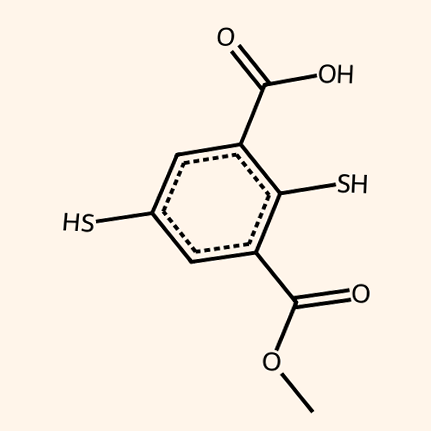 COC(=O)c1cc(S)cc(C(=O)O)c1S